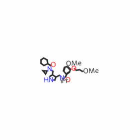 COCCCOc1cc(C(=O)N(CC2CNCC2CN(C(=O)C2CCCCC2)C2CC2)C(C)C)ccc1OC